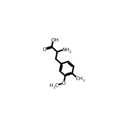 COc1cc(CC(N)C(=O)O)ccc1C